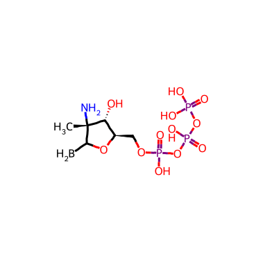 BC1O[C@H](COP(=O)(O)OP(=O)(O)OP(=O)(O)O)[C@@H](O)[C@@]1(C)N